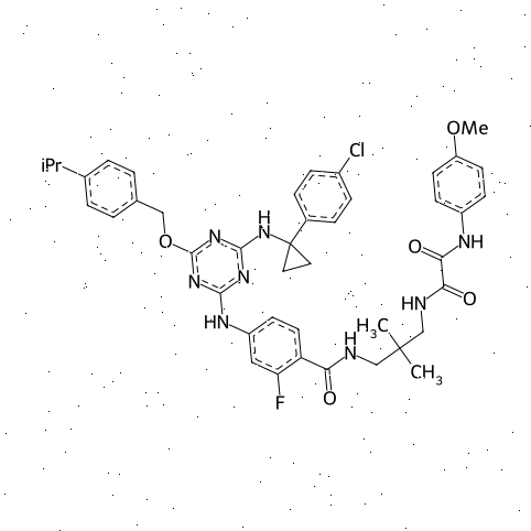 COc1ccc(NC(=O)C(=O)NCC(C)(C)CNC(=O)c2ccc(Nc3nc(NC4(c5ccc(Cl)cc5)CC4)nc(OCc4ccc(C(C)C)cc4)n3)cc2F)cc1